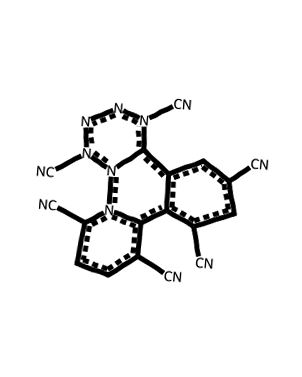 N#Cc1cc(C#N)c2c(c1)c1n(C#N)nnn(C#N)n-1n1c(C#N)ccc(C#N)c21